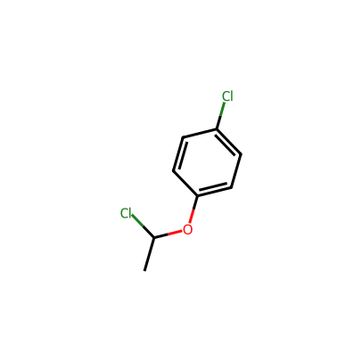 CC(Cl)Oc1ccc(Cl)cc1